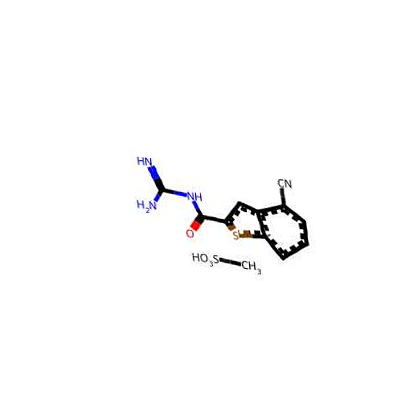 CS(=O)(=O)O.N#Cc1cccc2sc(C(=O)NC(=N)N)cc12